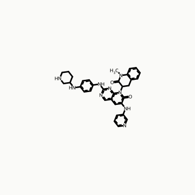 CN1C(=O)C(n2c(=O)c(Nc3cccnc3)cc3cnc(Nc4ccc(NC5CCCNC5)cc4)nc32)Cc2ccccc21